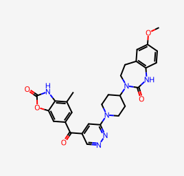 COc1ccc2c(c1)CCN(C1CCN(c3cc(C(=O)c4cc(C)c5[nH]c(=O)oc5c4)cnn3)CC1)C(=O)N2